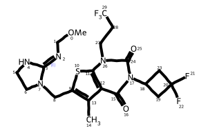 COC/N=C1\NCCN1Cc1sc2c(c1C)c(=O)n(C1CC(F)(F)C1)c(=O)n2CCC(F)(F)F